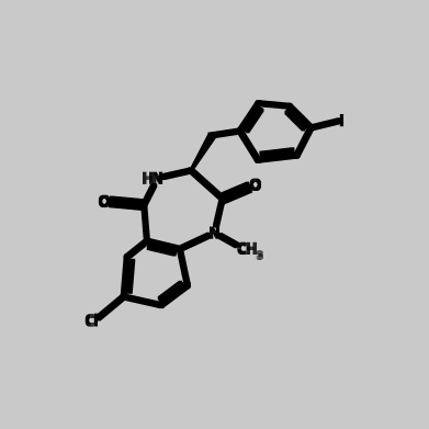 CN1C(=O)[C@H](Cc2ccc(I)cc2)NC(=O)c2cc(Cl)ccc21